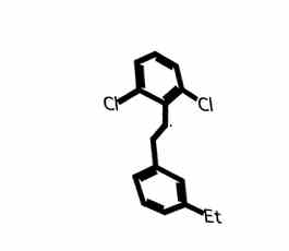 CCc1cccc(C[CH]c2c(Cl)cccc2Cl)c1